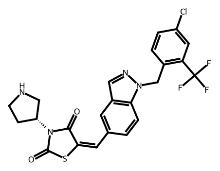 O=C1SC(=Cc2ccc3c(cnn3Cc3ccc(Cl)cc3C(F)(F)F)c2)C(=O)N1[C@@H]1CCNC1